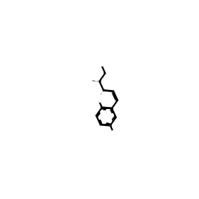 O[C@@H](CCl)[C@H]1C=Cc2cc(F)ccc2O1